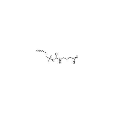 CCCCCCCCCCCC(C)(C)OC(=O)NCCC[SH](=O)=O